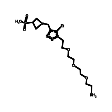 CCc1c(CN2CC(S(C)(=O)=O)C2)nnn1CCOCCOCCOCCN